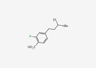 CCCCC(CC)CCc1ccc(C(=O)O)c(F)c1